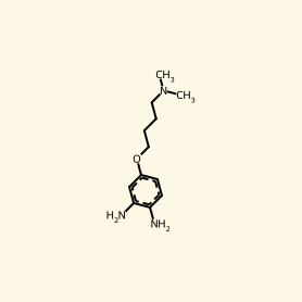 CN(C)CCCCOc1ccc(N)c(N)c1